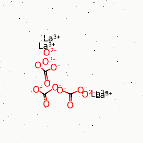 O=C([O-])[O-].O=C([O-])[O-].O=C([O-])[O-].[La+3].[La+3].[La+3].[La+3].[O-2].[O-2].[O-2]